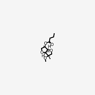 CCCC(=O)O[C@@H]1CO[C@H]2[C@@H]1OC[C@]2(C)OC